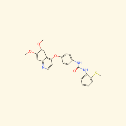 COc1cc2nccc(Oc3ccc(NC(=O)Nc4ccccc4SC)cc3)c2cc1OC